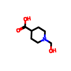 O=C(O)C1CCN(CO)CC1